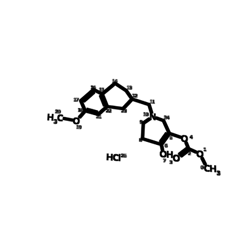 COC(=O)OC1=C(O)CCN(CC2CCc3ccc(OC)cc3C2)C1.Cl